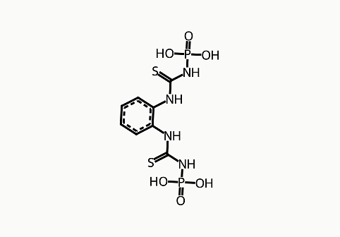 O=P(O)(O)NC(=S)Nc1ccccc1NC(=S)NP(=O)(O)O